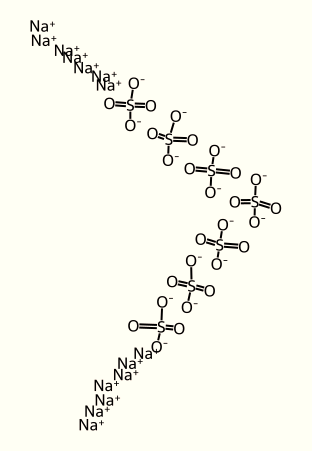 O=S(=O)([O-])[O-].O=S(=O)([O-])[O-].O=S(=O)([O-])[O-].O=S(=O)([O-])[O-].O=S(=O)([O-])[O-].O=S(=O)([O-])[O-].O=S(=O)([O-])[O-].[Na+].[Na+].[Na+].[Na+].[Na+].[Na+].[Na+].[Na+].[Na+].[Na+].[Na+].[Na+].[Na+].[Na+]